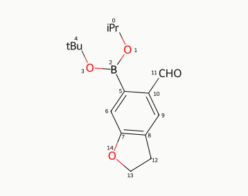 CC(C)OB(OC(C)(C)C)c1cc2c(cc1C=O)CCO2